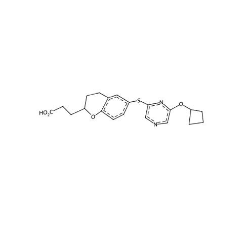 O=C(O)CCC1CCc2cc(Sc3cncc(OC4CCC4)n3)ccc2O1